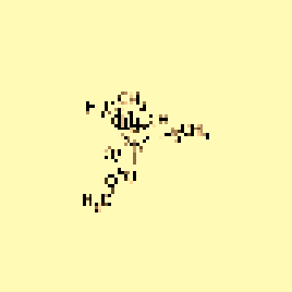 C=C(NCC(C)(C)C)[C@H](CCSC)NC(=O)[C@H]1O[C@@H]1C(=O)OCC